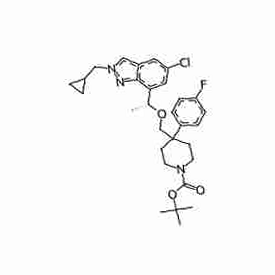 C[C@@H](OCC1(c2ccc(F)cc2)CCN(C(=O)OC(C)(C)C)CC1)c1cc(Cl)cc2cn(CC3CC3)nc12